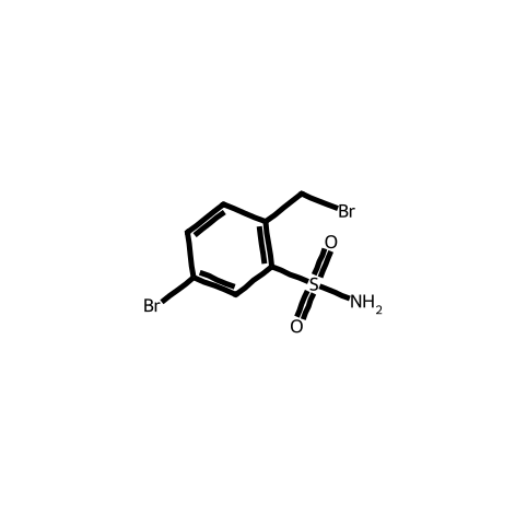 NS(=O)(=O)c1cc(Br)ccc1CBr